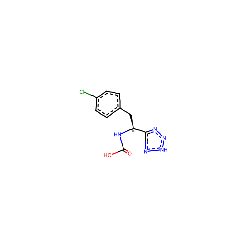 O=C(O)N[C@@H](Cc1ccc(Cl)cc1)c1nn[nH]n1